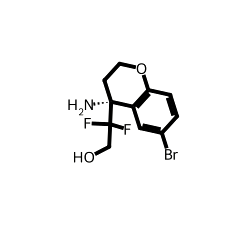 N[C@]1(C(F)(F)CO)CCOc2ccc(Br)cc21